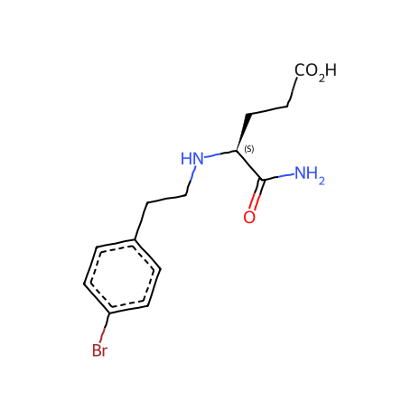 NC(=O)[C@H](CCC(=O)O)NCCc1ccc(Br)cc1